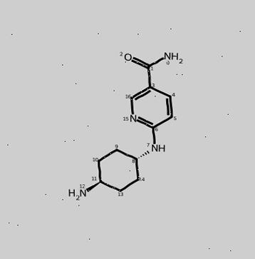 NC(=O)c1ccc(N[C@H]2CC[C@H](N)CC2)nc1